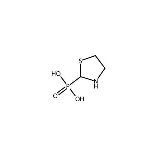 O=P(O)(O)C1NCCS1